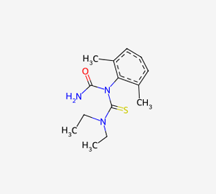 CCN(CC)C(=S)N(C(N)=O)c1c(C)cccc1C